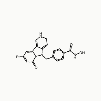 O=C(NO)c1ccc(CN2C3=CCNC=C3C3=CC(F)=CC(=O)C32)cc1